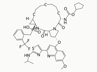 COc1ccc2c(O[C@@H]3C[C@H]4C(=O)N[C@]5(P(=O)(O)Cc6ccccc6C(F)(F)F)C[C@H]5CCCCCCC[C@H](NC(=O)OC5CCCC5)C(=O)N4C3)cc(-c3csc(NC(C)C)n3)nc2c1